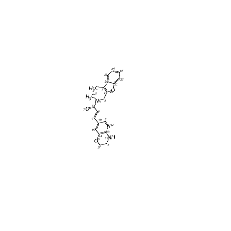 Cc1c(CN(C)C(=O)C=Cc2cnc3c(c2)OCCN3)oc2ccccc12